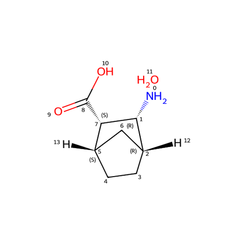 N[C@@H]1[C@@H]2CC[C@@H](C2)[C@@H]1C(=O)O.O